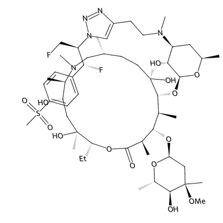 CC[C@H]1OC(=O)[C@H](C)[C@@H](O[C@H]2C[C@@](C)(OC)[C@@H](O)[C@H](C)O2)[C@H](C)[C@@H](O[C@@H]2O[C@H](C)C[C@H](N(C)CCc3cn([C@H](CF)[C@H](F)c4ccc(S(C)(=O)=O)cc4)nn3)[C@H]2O)[C@](C)(O)CC[C@@H](C)CN(C)[C@H](C)[C@@H](O)C[C@]1(C)O